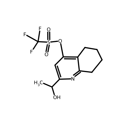 CC(O)c1cc(OS(=O)(=O)C(F)(F)F)c2c(n1)CCCC2